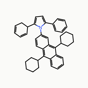 C1=CCC(c2ccc(-c3ccccc3)n2-c2ccc3c(C4CCCCC4)c4ccccc4c(C4CCCCC4)c3c2)C=C1